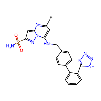 CCc1cc(NCc2ccc(-c3ccccc3-c3nnn[nH]3)cc2)n2nc(S(N)(=O)=O)cc2n1